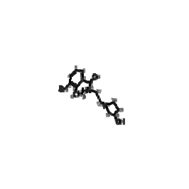 Cc1c(Br)cccc1C(=O)NCCN1CC[C@@H](O)C1